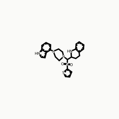 O=S(=O)(c1cccs1)C(C1CCc2ccccc2N1)N1CCN(c2cccc3[nH]ccc23)CC1